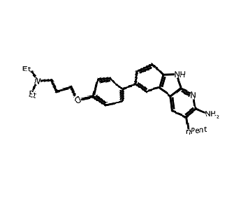 CCCCCc1cc2c(nc1N)[nH]c1ccc(-c3ccc(OCCCN(CC)CC)cc3)cc12